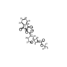 CC(C)(C)OC(=O)N1CC2(CC(C(=O)ON3C(=O)c4ccccc4C3=O)CCO2)C1